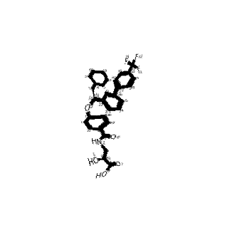 O=C(NC[C@H](O)C(=O)O)c1ccc(O[C@@H](CC2CCCCC2)c2cccc(-c3ccc(C(F)(F)F)cc3)c2)cc1